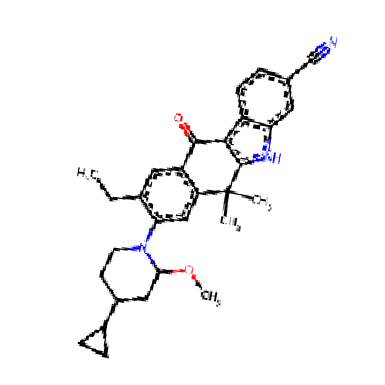 CCc1cc2c(cc1N1CCC(C3CC3)CC1OC)C(C)(C)c1[nH]c3cc(C#N)ccc3c1C2=O